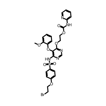 COc1ccccc1Oc1c(NS(=O)(=O)c2ccc(OCCBr)cc2)ncnc1OCCOC(=O)Nc1ccccn1